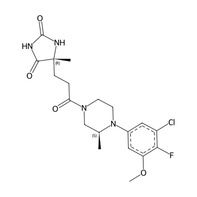 COc1cc(N2CCN(C(=O)CC[C@@]3(C)NC(=O)NC3=O)C[C@@H]2C)cc(Cl)c1F